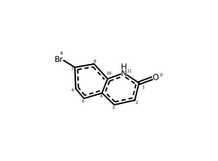 O=c1ccc2ccc(Br)cc2[nH]1